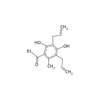 C=CCc1c(C)c(C(=O)CC)c(O)c(CC=C)c1O